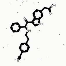 N#Cc1ccc(CCNC(C(=O)c2c[nH]c3cc(CC(=O)O)ccc23)c2ccccc2)cc1